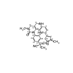 CN1C=C(C2C=CC3=C(N2)C2=C(CN3)CN(C)C(=O)N2c2ccc(C(C)(C)C#N)cc2)CN1